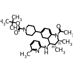 CC(=O)N1C2=CC=C(C3CCN(C(=O)OC(C)(C)C)CC3)CC2C(Nc2cccc(C)n2)[C@@H](C)[C@@H]1C